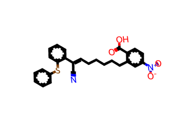 N#C/C(=C\CCCCCc1cc([N+](=O)[O-])ccc1C(=O)O)c1ccccc1Sc1ccccc1